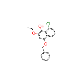 CCOc1cc(OCc2ccccc2)c2cccc(Cl)c2c1O